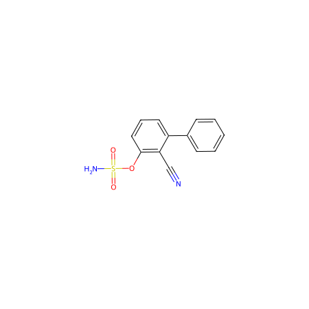 N#Cc1c(OS(N)(=O)=O)cccc1-c1ccccc1